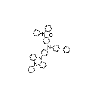 c1ccc(-c2ccc(N(c3ccc(N4c5ccccc5N(c5ccccc5)c5ccccc54)cc3)c3ccc4c(c3)Oc3ccccc3N4c3ccccc3)cc2)cc1